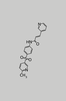 Cc1ccc(S(=O)(=O)c2ccc(NC(=O)C=Cc3cccnc3)cc2)cn1